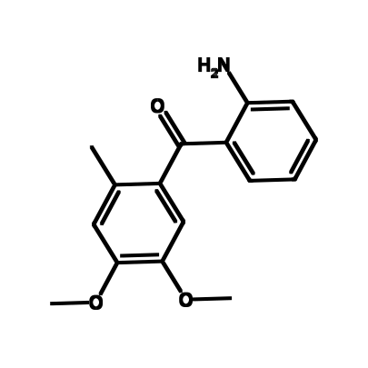 COc1cc(C)c(C(=O)c2ccccc2N)cc1OC